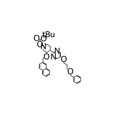 CC(C)(C)OC(=O)ON1CCC(c2ncc(OCCCOCc3ccccc3)cn2)C(OCc2ccc3ccccc3c2)C1